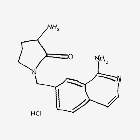 Cl.Nc1nccc2ccc(CN3CCC(N)C3=O)cc12